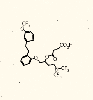 O=C(O)CCC(=O)OC(CCN(C(F)(F)F)C(F)(F)F)COc1ccccc1CCc1cccc(OC(F)(F)F)c1